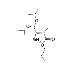 CCCOC(=O)C(C)=C([SiH3])C(OC(C)C)OC(C)C